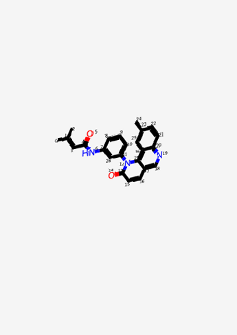 CC(C)=CC(=O)Nc1cccc(-n2c(=O)ccc3cnc4ccc(C)cc4c32)c1